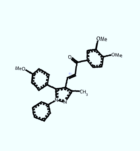 COc1ccc(-c2c(/C=C/C(=O)c3ccc(OC)c(OC)c3)c(C)nn2-c2ccccc2)cc1